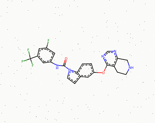 O=C(Nc1cc(F)cc(C(F)(F)F)c1)n1ccc2cc(Oc3ncnc4c3CCNC4)ccc21